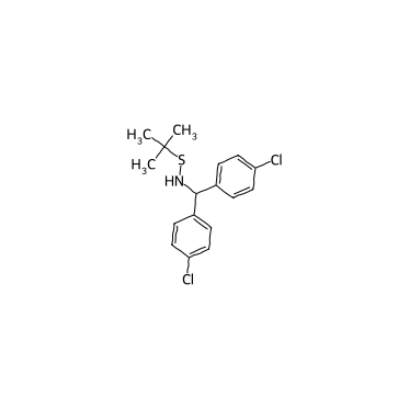 CC(C)(C)SNC(c1ccc(Cl)cc1)c1ccc(Cl)cc1